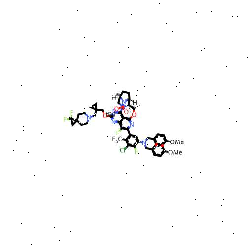 COc1ccc(CN(Cc2ccc(OC)cc2)c2cc(-c3nc4c5c(nc(OCC6(CN7CCC8(CC7)CC8(F)F)CC6)nc5c3F)N3C[C@H]5CC[C@@H]([C@H]3[C@H](C)O4)N5C(=O)OC(C)(C)C)c(C(F)(F)F)c(Cl)c2F)cc1